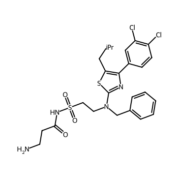 CC(C)Cc1sc(N(CCS(=O)(=O)NC(=O)CCN)Cc2ccccc2)nc1-c1ccc(Cl)c(Cl)c1